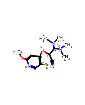 COc1cc(OC(C#N)C(N(C)C)N(C)C)c(Br)cn1